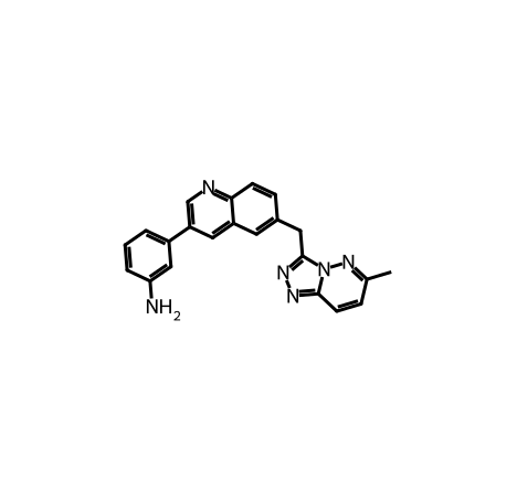 Cc1ccc2nnc(Cc3ccc4ncc(-c5cccc(N)c5)cc4c3)n2n1